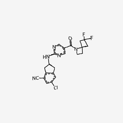 N#Cc1cc(Cl)cc2c1CC(Nc1ncc(C(=O)N3CCC34CC(F)(F)C4)cn1)C2